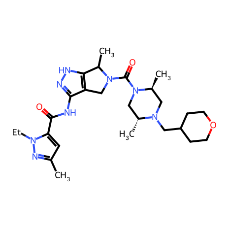 CCn1nc(C)cc1C(=O)Nc1n[nH]c2c1CN(C(=O)N1C[C@@H](C)N(CC3CCOCC3)C[C@@H]1C)C2C